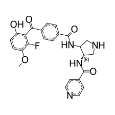 COc1ccc(O)c(C(=O)c2ccc(C(=O)NC3CNC[C@H]3NC(=O)c3ccncc3)cc2)c1F